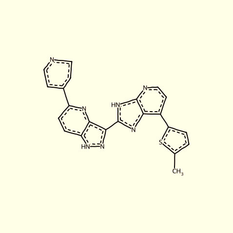 Cc1ccc(-c2ccnc3[nH]c(-c4n[nH]c5ccc(-c6ccncc6)nc45)nc23)s1